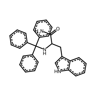 NC(=O)C(Cc1c[nH]c2ccccc12)NC(c1ccccc1)(c1ccccc1)c1ccccc1